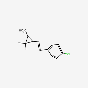 CC1(C)C(/C=C/c2ccc(Cl)cc2)C1C(=O)O